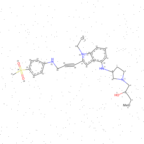 COCC(O)CN1CCC(Nc2cccc3c2cc(C#CCNc2ccc(S(C)(=O)=O)cc2)n3CC(F)(F)F)C1